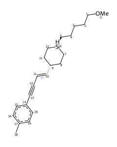 COCCCCC[Si@H]1CC[C@H](/C=C/C#Cc2ccc(C)cc2)CC1